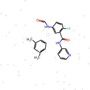 Cc1cccc(C)c1.O=CNc1ccc(F)c(C(=O)Nc2cccnc2)c1